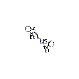 CCN(C/C=C/C=C/C=C1/Sc2ccccc2N1CC)c1ccccc1S